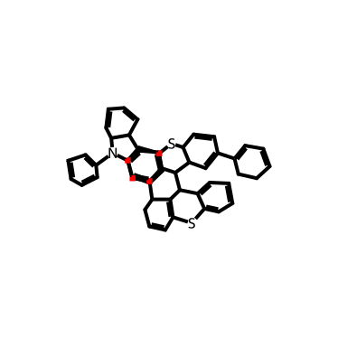 C1=CCCC(C2=CC3C(C=C2)SC2C=CC=CC2C3C2C3=C(C=CCC3c3ccc4c(c3)N(c3ccccc3)C3C=CC=CC43)Sc3ccccc32)=C1